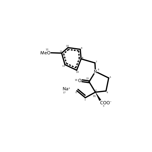 C=C[C@@]1(C(=O)[O-])CCN(Cc2ccc(OC)cc2)C1=O.[Na+]